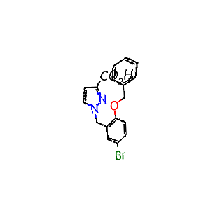 O=C(O)c1ccn(Cc2cc(Br)ccc2OCc2ccccc2)n1